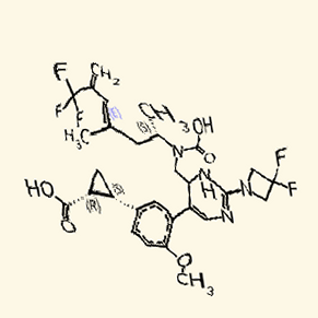 C=C(/C=C(\C)C[C@H](C)N(CC1NC(N2CC(F)(F)C2)=NC=C1c1cc([C@H]2C[C@H]2C(=O)O)ccc1OC)C(=O)O)C(F)(F)F